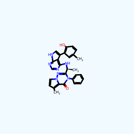 Cc1ccc(O)c(-c2c[nH]c3ncnc(N[C@@H](C)c4nn5ccc(C)c5c(=O)n4-c4ccccc4)c23)c1